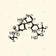 CC1(NS(=O)(=O)c2ccc3c(c2)[nH]c2nccc(C4=CCN(C(=O)O)C(C(C)(C)C)C4)c23)CC1